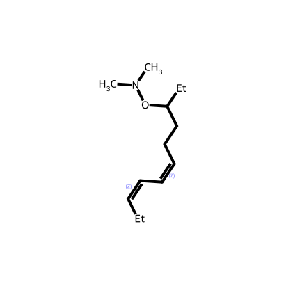 CC/C=C\C=C/CCC(CC)ON(C)C